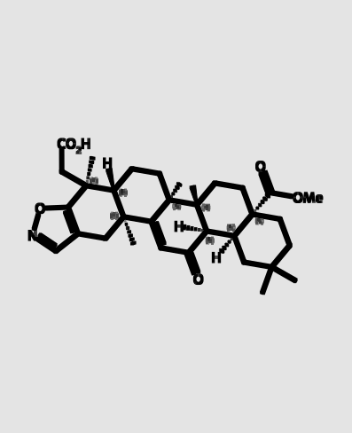 COC(=O)[C@]12CCC(C)(C)C[C@H]1[C@H]1C(=O)C=C3[C@@]4(C)Cc5cnoc5[C@@](C)(CC(=O)O)[C@@H]4CC[C@@]3(C)[C@]1(C)CC2